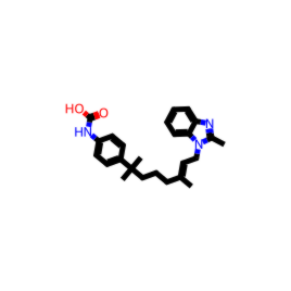 C/C(=C\Cn1c(C)nc2ccccc21)CCCC(C)(C)c1ccc(NC(=O)O)cc1